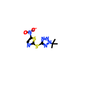 CC(C)(C)n1nnc(Sc2ncc([N+](=O)[O-])s2)n1